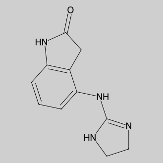 O=C1Cc2c(cccc2NC2=NCCN2)N1